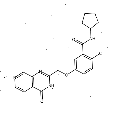 O=C(NC1CCCC1)c1cc(OCc2nc3cnccc3c(=O)[nH]2)ccc1Cl